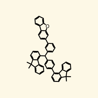 CC1(C)c2ccccc2-c2c(-c3ccc(C(c4cccc(-c5ccc6c(c5)oc5ccccc56)c4)c4cccc5c4-c4ccccc4C5(C)C)cc3)cccc21